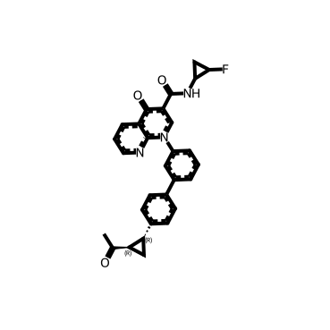 CC(=O)[C@@H]1C[C@H]1c1ccc(-c2cccc(-n3cc(C(=O)NC4CC4F)c(=O)c4cccnc43)c2)cc1